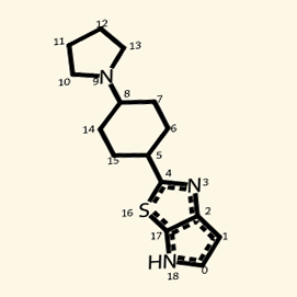 c1cc2nc(C3CCC(N4CCCC4)CC3)sc2[nH]1